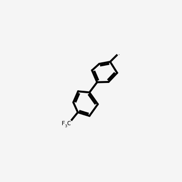 [CH2]c1ccc(-c2ccc(C(F)(F)F)cc2)cc1